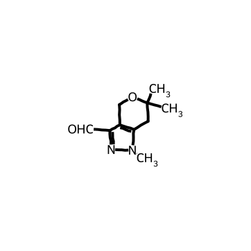 Cn1nc(C=O)c2c1CC(C)(C)OC2